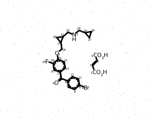 O=C(O)/C=C/C(=O)O.O=C(c1ccc(Br)cc1)c1ccc(OCC2CC2CNCC2CC2)c(F)c1